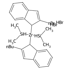 Br.Br.CCCCC1=Cc2ccccc2[CH]1[Zr]([CH]1C(CCC)=Cc2ccccc21)([SiH](C)C)[SiH](C)C